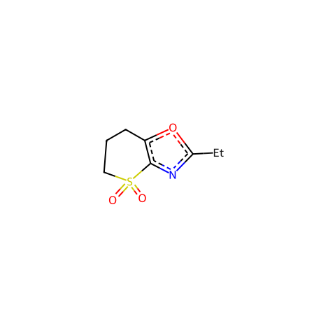 CCc1nc2c(o1)CCCS2(=O)=O